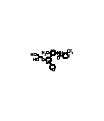 Cc1ccc(NC(=O)c2ccnc(C(F)(F)F)c2)cc1-c1cc(OC[C@@H](O)CO)nc(C2CCOCC2)c1